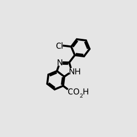 O=C(O)c1cccc2nc(-c3ccccc3Cl)[nH]c12